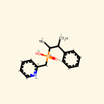 CC(C)(C)C(C(C(=O)O)c1ccccc1)P(=O)(O)Cc1ccccn1